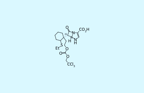 CCSC1CCCCC1(CCOC(=O)OCC(Cl)(Cl)Cl)[C@@H]1C(=O)N2C(C(=O)O)=CN[C@@H]12